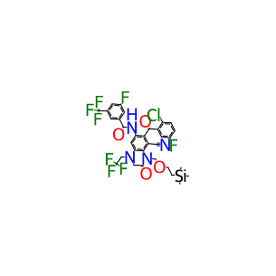 C[Si](C)(C)CCOCN1C(=O)CN(CC(F)(F)F)c2cc(NC(=O)c3cc(F)cc(C(F)(F)F)c3)c(C(=O)c3cc(F)ccc3Cl)c(C#N)c21